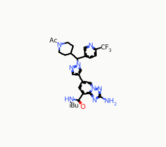 CCC(C)NC(=O)c1cc(-c2cnn(C(c3ccc(C(F)(F)F)nc3)C3CCN(C(C)=O)CC3)c2)cn2nc(N)nc12